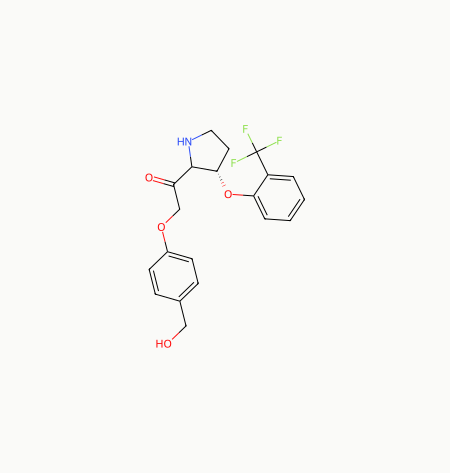 O=C(COc1ccc(CO)cc1)C1NCC[C@@H]1Oc1ccccc1C(F)(F)F